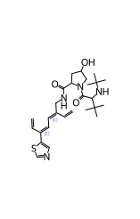 C=C/C(=C\C=C(/C=C)c1cncs1)CNC(=O)C1CC(O)CN1C(=O)C(NC(C)(C)C)C(C)(C)C